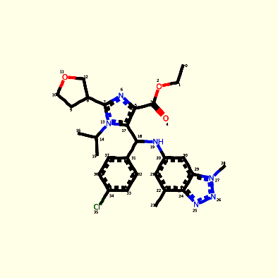 CCOC(=O)c1nc(C2CCOC2)n(C(C)C)c1C(Nc1cc(C)c2nnn(C)c2c1)c1ccc(Cl)cc1